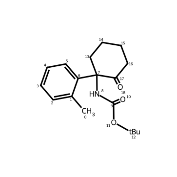 Cc1ccccc1C1(NC(=O)OC(C)(C)C)CCCCC1=O